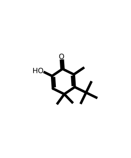 CC1=C(C(C)(C)C)C(C)(C)C=C(O)C1=O